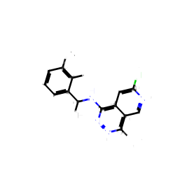 Cc1c(C#N)cccc1C(C)Nc1nnc(C=O)c2cnc(Cl)cc12